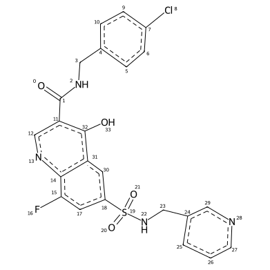 O=C(NCc1ccc(Cl)cc1)c1cnc2c(F)cc(S(=O)(=O)NCc3cccnc3)cc2c1O